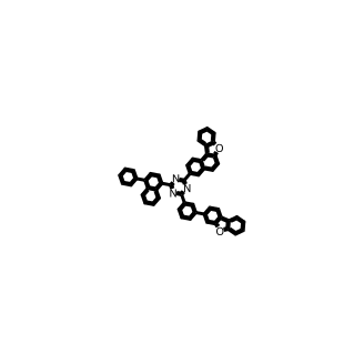 c1ccc(-c2ccc(-c3nc(-c4cccc(-c5ccc6c(c5)oc5ccccc56)c4)nc(-c4ccc5c(ccc6oc7ccccc7c65)c4)n3)c3ccccc23)cc1